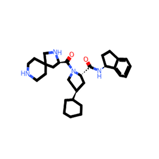 O=C(N[C@@H]1CCc2ccccc21)[C@@H]1C[C@@H](C2CCCCC2)CN1C(=O)[C@H]1CC2(CCNCC2)CN1